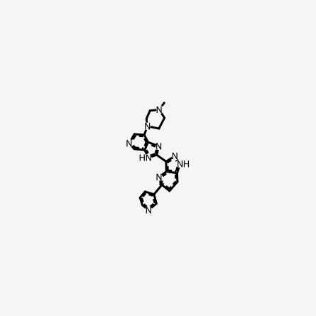 CN1CCN(c2cncc3[nH]c(-c4n[nH]c5ccc(-c6cccnc6)nc45)nc23)CC1